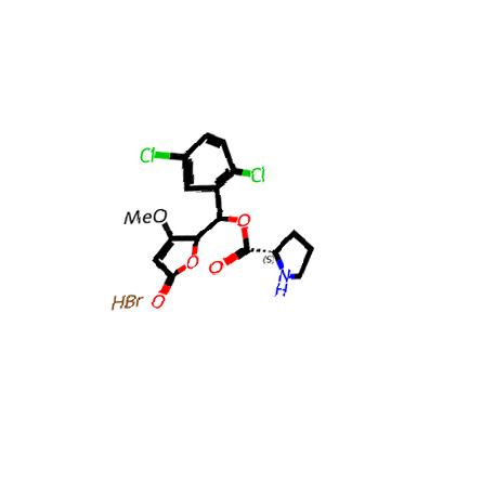 Br.COC1=CC(=O)OC1C(OC(=O)[C@@H]1CCCN1)c1cc(Cl)ccc1Cl